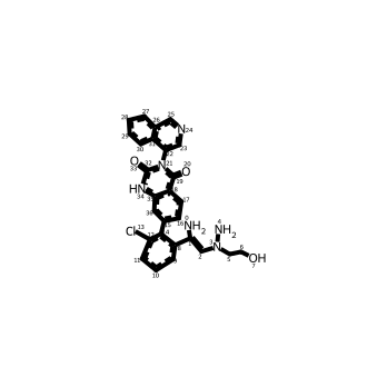 N/C(=C\N(N)CCO)c1cccc(Cl)c1-c1ccc2c(=O)n(-c3cncc4ccccc34)c(=O)[nH]c2c1